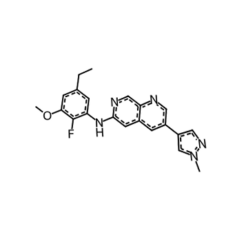 CCc1cc(Nc2cc3cc(-c4cnn(C)c4)cnc3cn2)c(F)c(OC)c1